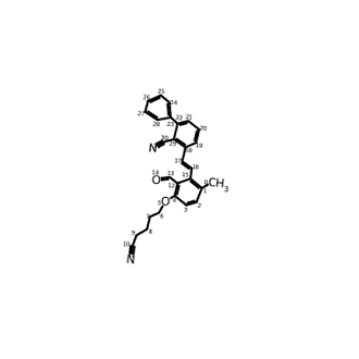 Cc1ccc(OCCCCC#N)c(C=O)c1/C=C/c1cccc(-c2ccccc2)c1C#N